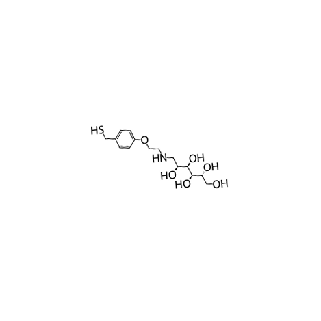 OC[C@@H](O)[C@@H](O)[C@H](O)[C@@H](O)CNCCOc1ccc(CS)cc1